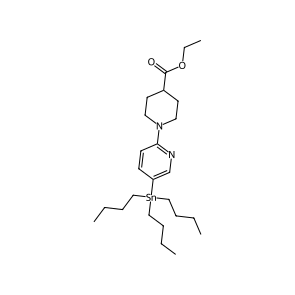 CCC[CH2][Sn]([CH2]CCC)([CH2]CCC)[c]1ccc(N2CCC(C(=O)OCC)CC2)nc1